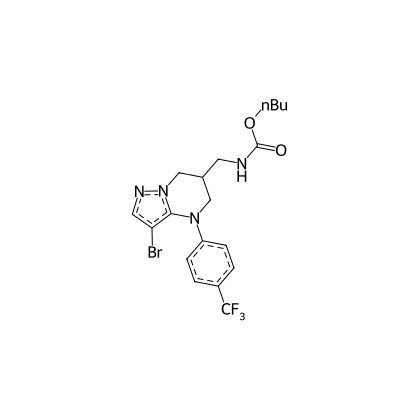 CCCCOC(=O)NCC1CN(c2ccc(C(F)(F)F)cc2)c2c(Br)cnn2C1